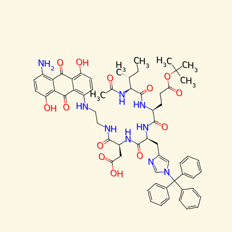 CC[C@@H](C)[C@H](NC(C)=O)C(=O)N[C@@H](CCC(=O)OC(C)(C)C)C(=O)N[C@@H](Cc1cn(C(c2ccccc2)(c2ccccc2)c2ccccc2)cn1)C(=O)N[C@@H](CC(=O)O)C(=O)NCCNc1ccc(O)c2c1C(=O)c1c(O)ccc(N)c1C2=O